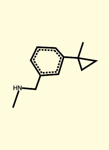 CNCc1cccc(C2(C)CC2)c1